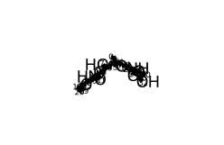 CCC(C)(CCC(O)COC(=O)NCCOCC(C)(C)C)COCCNC(=O)OC(C)CO